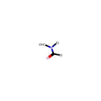 CCC(=O)N([C]=O)CC